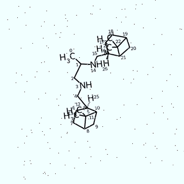 CC(CNC[C@@H]1CCC2CC1C2(C)C)NC[C@@H]1CCC2CC1C2(C)C